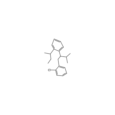 CCC(C)c1ccccc1[C](Cc1ccccc1Cl)C(C)C